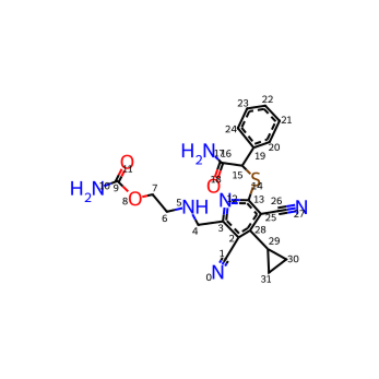 N#Cc1c(CNCCOC(N)=O)nc(SC(C(N)=O)c2ccccc2)c(C#N)c1C1CC1